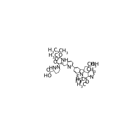 CO[C@@H](C)c1ncccc1-c1c(CC(C)(C)CO)c2cc(-c3cccc(C[C@H](NC(=O)OC(C)(C)C)C(=O)N4CCCC(C(=O)O)N4)n3)ccc2n1CC(F)(F)F